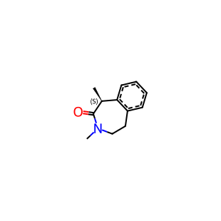 C[C@@H]1C(=O)N(C)CCc2ccccc21